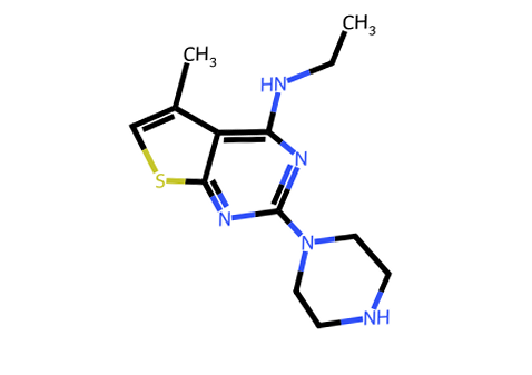 CCNc1nc(N2CCNCC2)nc2scc(C)c12